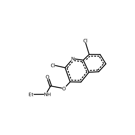 CCNC(=O)Oc1cc2cccc(Cl)c2nc1Cl